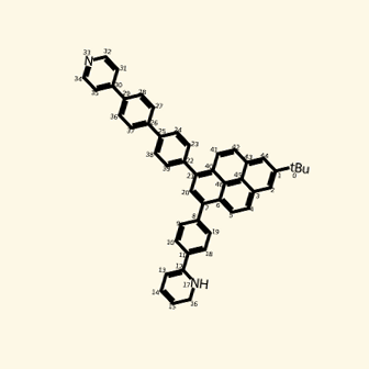 CC(C)(C)c1cc2ccc3c(-c4ccc(C5=CC=CCN5)cc4)cc(-c4ccc(-c5ccc(-c6ccncc6)cc5)cc4)c4ccc(c1)c2c34